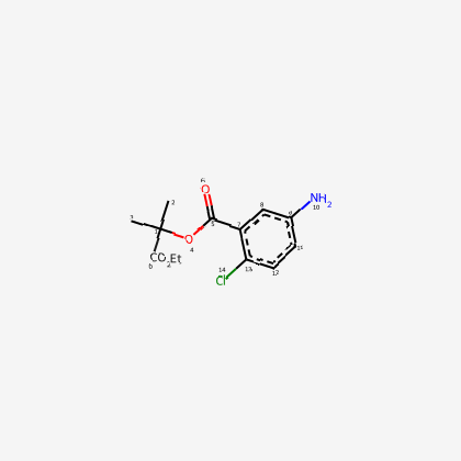 CCOC(=O)C(C)(C)OC(=O)c1cc(N)ccc1Cl